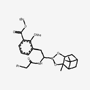 COc1c(CC(NC(=O)CC(C)C)B2OC3CC4CC(C4(C)C)C3(C)O2)cccc1C(=O)OC(C)(C)C